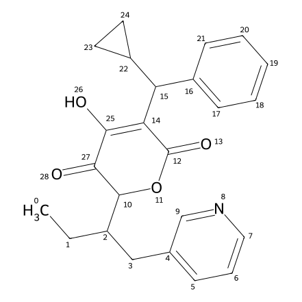 CCC(Cc1cccnc1)C1OC(=O)C(C(c2ccccc2)C2CC2)=C(O)C1=O